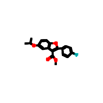 COC(=O)c1c(-c2ccc(F)cc2)oc2ccc(OC(C)C)cc12